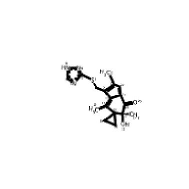 CC1=C(CSc2nc[nH]n2)C2=C(C)C3(CC3)[C@@](C)(O)C(=O)C2=C1